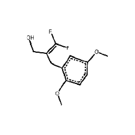 COc1ccc(OC)c(CC(CO)=C(F)F)c1